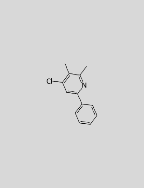 Cc1nc(-c2ccccc2)cc(Cl)c1C